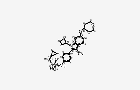 C[C@H](NS(=O)(=O)Nc1ccc(-c2c(C#N)c3ccc(OC4CCOCC4)cc3n2C2CCC2)cc1)C1CC1